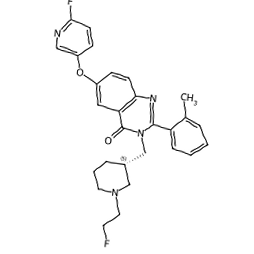 Cc1ccccc1-c1nc2ccc(Oc3ccc(F)nc3)cc2c(=O)n1C[C@H]1CCCN(CCF)C1